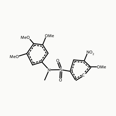 COc1ccc(S(=O)(=O)N(C)c2cc(OC)c(OC)c(OC)c2)cc1[N+](=O)[O-]